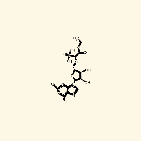 CCOC(=O)[C@@H](OC[C@H]1O[C@@H](n2cnc3c(C)nc(Cl)nc32)[C@H](O)[C@@H]1O)P(=O)(O)O